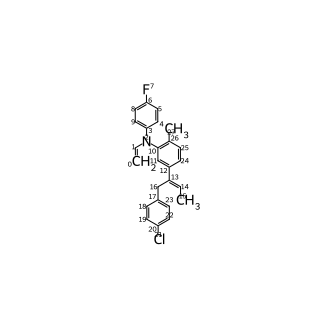 C=CN(c1ccc(F)cc1)c1cc(/C(=C/C)Cc2ccc(Cl)cc2)ccc1C